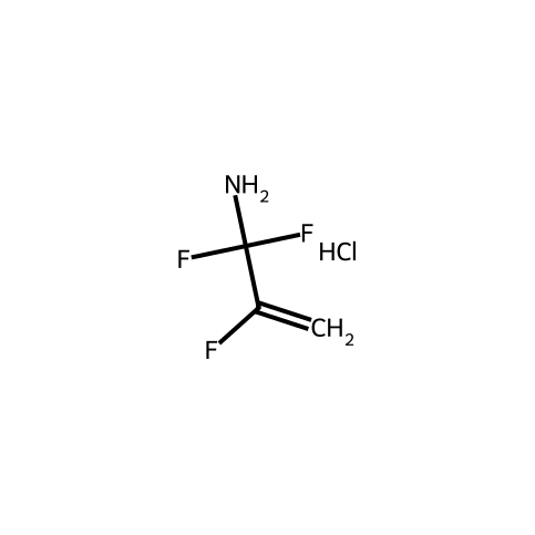 C=C(F)C(N)(F)F.Cl